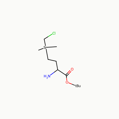 CC(C)(C)OC(=O)C(N)CC[Si](C)(C)CCl